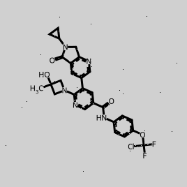 CC1(O)CN(c2ncc(C(=O)Nc3ccc(OC(F)(F)Cl)cc3)cc2-c2cnc3c(c2)C(=O)N(C2CC2)C3)C1